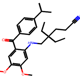 CCC(CC)(CCC#N)CNc1cc(OC)c(OC)cc1C(=O)c1ccc(C(C)C)cc1